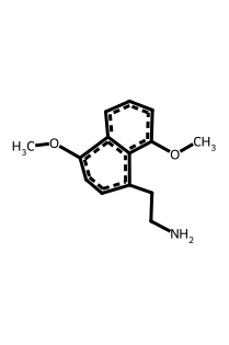 COc1ccc(CCN)c2c(OC)cccc12